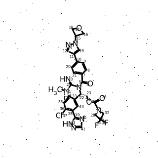 CNC(=N)N(C(=O)c1ccc(-c2cnn(C3COC3)c2)cc1)[C@H](COC(=O)N1CC(F)(F)C1)c1ccc(Cl)c(-c2ncn[nH]2)c1